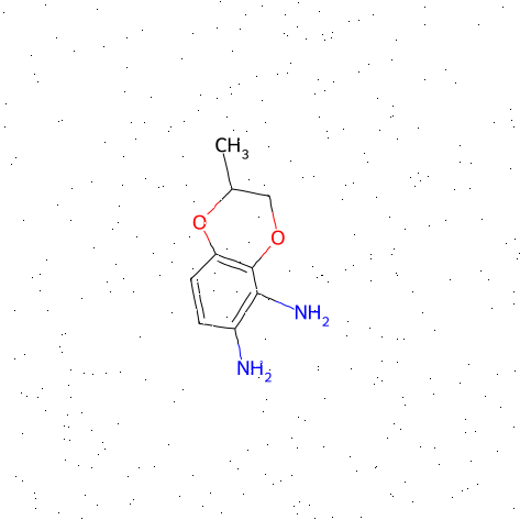 CC1COc2c(ccc(N)c2N)O1